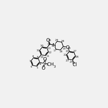 CS(=O)(=O)c1ccccc1-c1ccc(C(=O)N2CCC(Oc3ccc(Cl)cc3)CC2)cc1